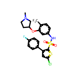 CN1CCC(Oc2cc(NS(=O)(=O)c3sc(Cl)cc3-c3ccc(F)cc3)ccc2C(F)(F)F)C1